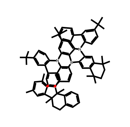 Cc1cc(C)c2c(c1)C1(C)CCc3ccccc3C1(C)N2c1ccc2c(c1)N(c1ccc(C(C)(C)C)cc1-c1ccccc1)c1cc(C(C)(C)C)cc3c1B2c1cc2c(cc1N3c1ccc(C(C)(C)C)cc1-c1ccccc1)C(C)(C)CCC2(C)C